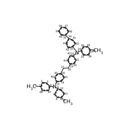 Cc1ccc(N(c2ccc(C)cc2)c2ccc(CCc3ccc(N(c4ccc(C)cc4)c4ccc(-c5ccccc5)cc4)cc3)cc2)cc1